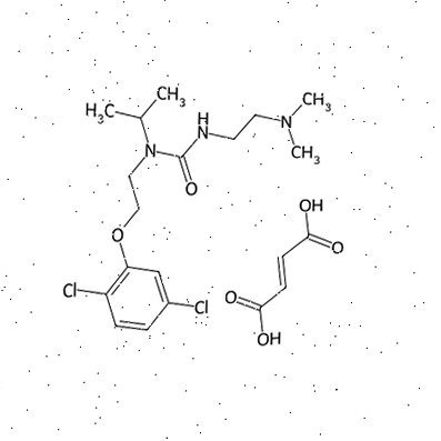 CC(C)N(CCOc1cc(Cl)ccc1Cl)C(=O)NCCN(C)C.O=C(O)C=CC(=O)O